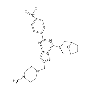 CN1CCN(Cc2cc3nc(-c4ccc([N+](=O)[O-])cc4)nc(N4CC5CCC(C4)O5)c3s2)CC1